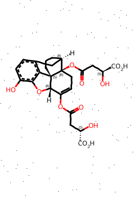 O=C(C[C@H](O)C(=O)O)OC1=CC[C@@]2(OC(=O)C[C@H](O)C(=O)O)[C@@H]3CCC[C@@]24c2c(ccc(O)c2O[C@@H]14)C3